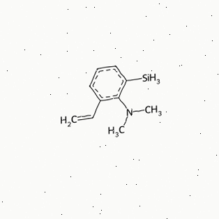 C=Cc1cccc([SiH3])c1N(C)C